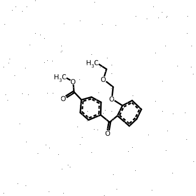 CCOCOc1ccccc1C(=O)c1ccc(C(=O)OC)cc1